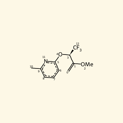 C=C(OC)[C@@H](Oc1cccc(C)n1)C(F)(F)F